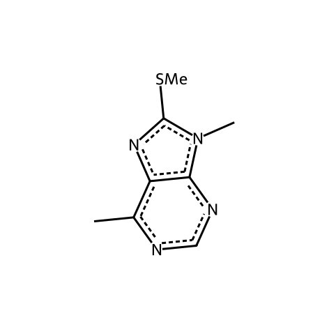 CSc1nc2c(C)ncnc2n1C